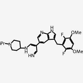 COc1cc(OC)c(F)c(Cc2c[nH]c3ncc(/C(C=N)=C/NC4CCN(C(C)C)CC4)cc23)c1F